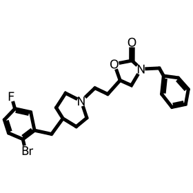 O=C1OC(CCN2CCC(Cc3cc(F)ccc3Br)CC2)CN1Cc1ccccc1